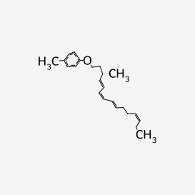 CC/C=C\CC/C=C/C=C\C=C\[C@@H](C)CCOc1ccc(C)cc1